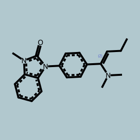 CC/C=C(/c1ccc(-n2c(=O)n(C)c3ccccc32)cc1)N(C)C